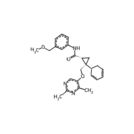 COCc1cccc(NC(=O)[C@@H]2C[C@@]2(COc2cnc(C)nc2C)C2C=CC=CC2)c1